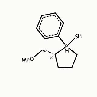 COC[C@H]1CCC[PH]1(S)c1ccccc1